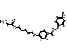 C=CC(=O)OCCCCCOc1ccc(C(=O)ONc2ccc(Br)cc2)cc1